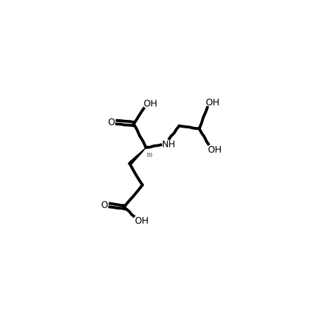 O=C(O)CC[C@H](NCC(O)O)C(=O)O